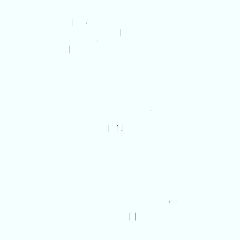 CC(C)(C)c1ccc(C(=O)Nc2ccc(C(=O)O)cc2)cc1